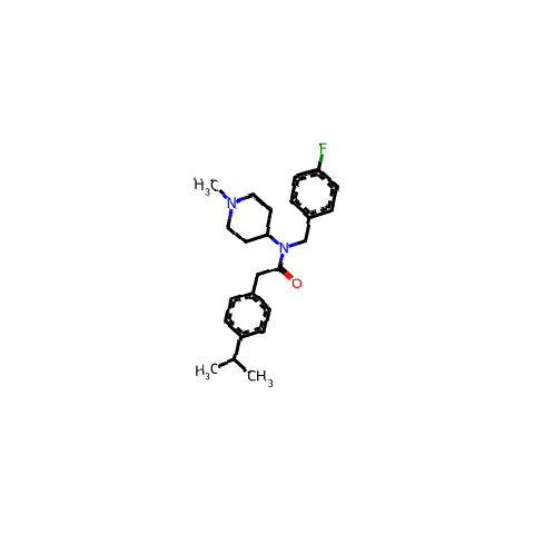 CC(C)c1ccc(CC(=O)N(Cc2ccc(F)cc2)C2CCN(C)CC2)cc1